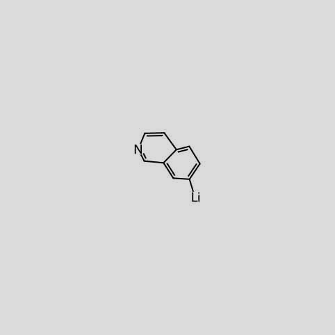 [Li][c]1ccc2ccncc2c1